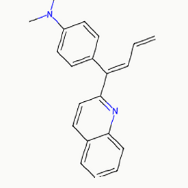 C=CC=C(c1ccc(N(C)C)cc1)c1ccc2ccccc2n1